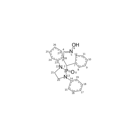 O=P1(C(CC=NO)c2ccccc2)N(c2ccccc2)CCN1c1ccccc1